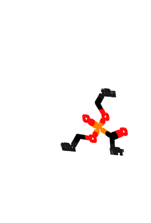 CCCC(=O)P(=O)(OCC(C)(C)C)OCC(C)(C)C